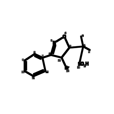 CC(C)(C1ON=C(c2ccccc2)C1Br)S(=O)(=O)O